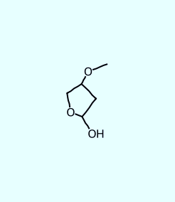 COC1COC(O)C1